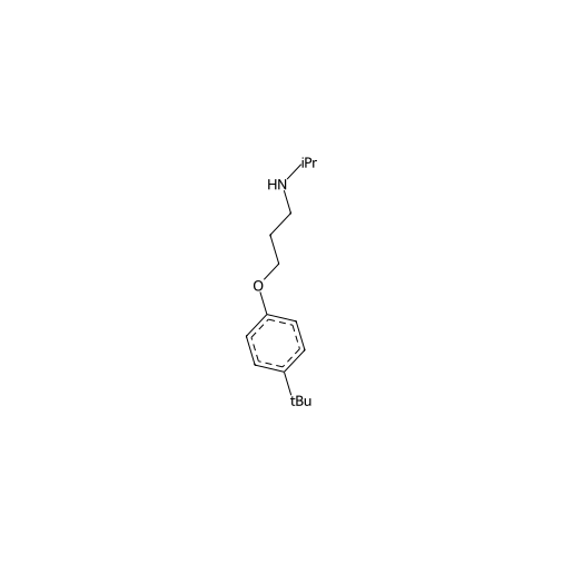 CC(C)NCCCOc1ccc(C(C)(C)C)cc1